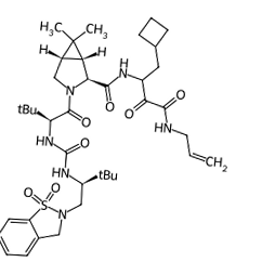 C=CCNC(=O)C(=O)C(CC1CCC1)NC(=O)[C@@H]1[C@@H]2[C@H](CN1C(=O)[C@@H](NC(=O)N[C@H](CN1Cc3ccccc3S1(=O)=O)C(C)(C)C)C(C)(C)C)C2(C)C